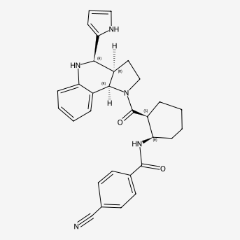 N#Cc1ccc(C(=O)N[C@@H]2CCCC[C@@H]2C(=O)N2CC[C@@H]3[C@H](c4ccc[nH]4)Nc4ccccc4[C@@H]32)cc1